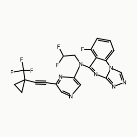 Fc1cccc2c1c(N(CC(F)F)c1cncc(C#CC3(C(F)(F)F)CC3)n1)nc1nncn12